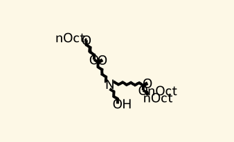 CCCCCCCCOCC=CCOC(=O)CCCCCN(CCCCO)CCCCCCCC(=O)OC(CCCCCCCC)CCCCCCCC